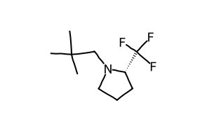 CC(C)(C)CN1CCC[C@H]1C(F)(F)F